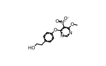 COc1ncnc(Oc2ccc(CCO)cc2)c1[N+](=O)[O-]